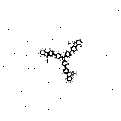 c1ccc2c(c1)[nH]c1cc(-c3ccc(N(c4ccc(-c5ccc6c(c5)[nH]c5ccccc56)cc4)c4ccc(-c5ccc6c(c5)[nH]c5ccccc56)cc4)cc3)ccc12